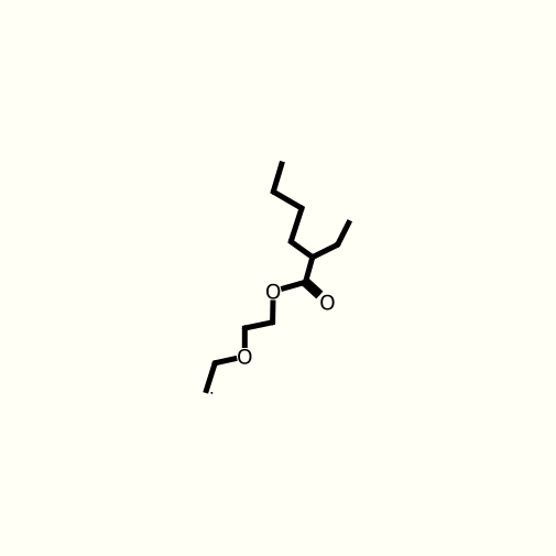 [CH2]COCCOC(=O)C(CC)CCCC